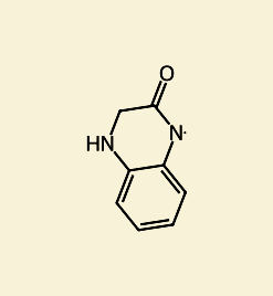 O=C1CNc2ccccc2[N]1